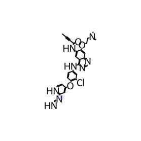 CC#CC(=O)Nc1cc2c(Nc3ccc(Oc4cc[nH]/c(=N\C=N)c4)c(Cl)c3)ncnc2cc1OCCN(C)C